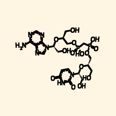 Nc1ncnc2c1ncn2[C@@H](CO)O[C@@H](CO)COP(=O)(O)CP(=O)(O)OC[C@H](CO)O[C@H](CO)n1ccc(=O)[nH]c1=O